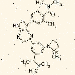 Cc1cc(-c2c[nH]c3ncc(-c4cc(C(C)N(C)C)cc(N5CCC[C@H]5C)c4)nc23)ccc1C(=O)N(C)C